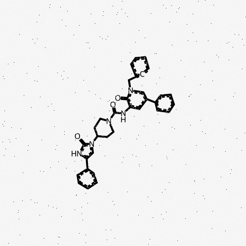 O=C(Nc1cc(-c2ccccc2)cn(Cc2ccccc2)c1=O)N1CCC(n2cc(-c3ccccc3)[nH]c2=O)CC1